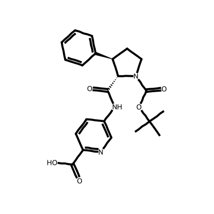 CC(C)(C)OC(=O)N1CC[C@H](c2ccccc2)[C@H]1C(=O)Nc1ccc(C(=O)O)nc1